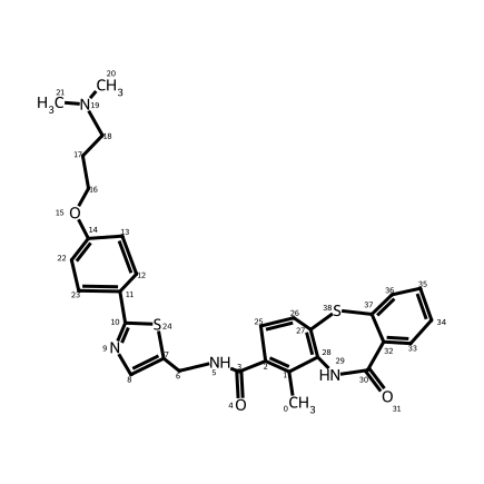 Cc1c(C(=O)NCc2cnc(-c3ccc(OCCCN(C)C)cc3)s2)ccc2c1NC(=O)c1ccccc1S2